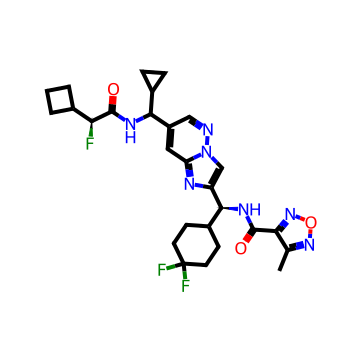 Cc1nonc1C(=O)N[C@H](c1cn2ncc(C(NC(=O)[C@@H](F)C3CCC3)C3CC3)cc2n1)C1CCC(F)(F)CC1